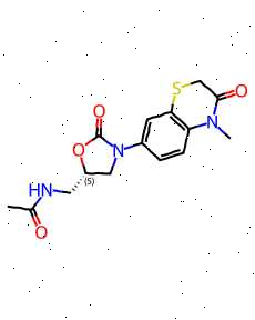 CC(=O)NC[C@H]1CN(c2ccc3c(c2)SCC(=O)N3C)C(=O)O1